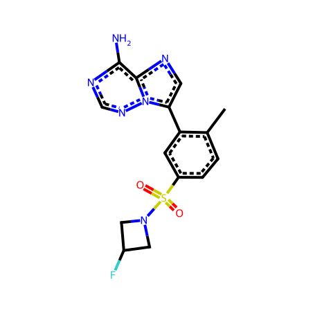 Cc1ccc(S(=O)(=O)N2CC(F)C2)cc1-c1cnc2c(N)ncnn12